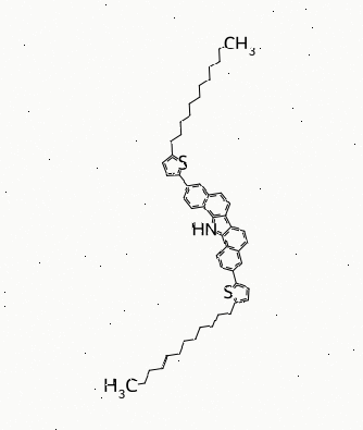 CCCCCCCCCCCCc1ccc(-c2ccc3c(ccc4c5ccc6cc(-c7ccc(CCCCCCCCCCCC)s7)ccc6c5[nH]c34)c2)s1